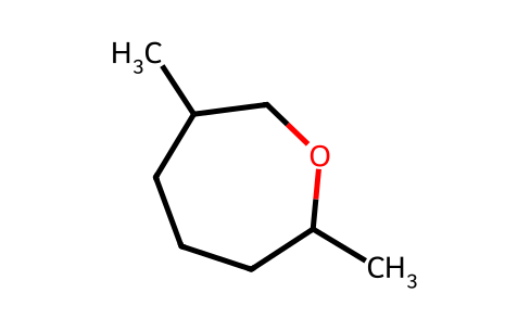 CC1CCCC(C)OC1